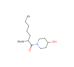 CNC(CCCCC(C)C)C(=O)N1CCC(O)CC1